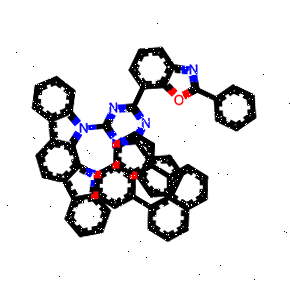 c1ccc(-c2nc(-c3cccc4nc(-c5ccccc5)oc34)nc(-n3c4ccccc4c4ccc5c6ccccc6n(-c6cccc(-c7cccc8cccc(-c9ccccc9)c78)c6)c5c43)n2)cc1